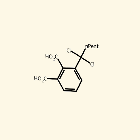 CCCCCC(Cl)(Cl)c1cccc(C(=O)O)c1C(=O)O